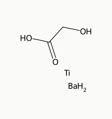 O=C(O)CO.[BaH2].[Ti]